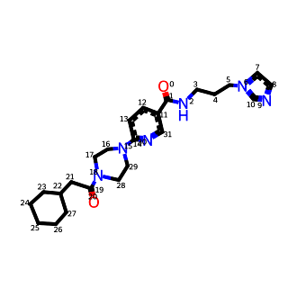 O=C(NCCCn1ccnc1)c1ccc(N2CCN(C(=O)CC3CCCCC3)CC2)nc1